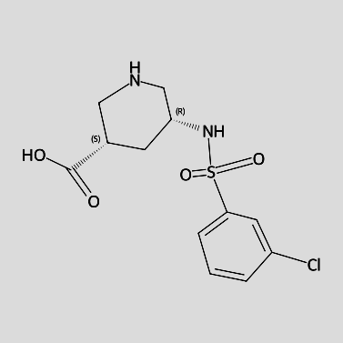 O=C(O)[C@@H]1CNC[C@H](NS(=O)(=O)c2cccc(Cl)c2)C1